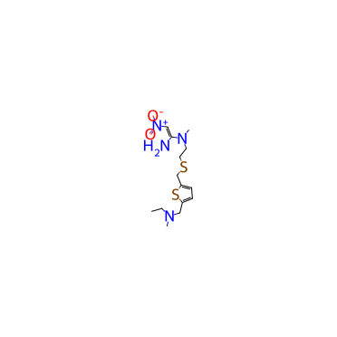 CCN(C)Cc1ccc(CSCCN(C)C(N)=C[N+](=O)[O-])s1